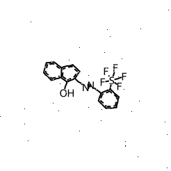 Oc1c(/N=N/c2ccccc2S(F)(F)(F)(F)F)ccc2ccccc12